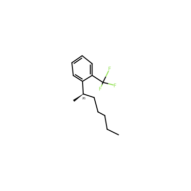 CCCCC[C@@H](C)c1ccccc1C(F)(F)F